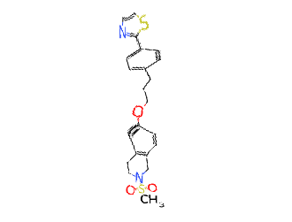 CS(=O)(=O)N1CCc2cc(OCCCc3ccc(-c4nccs4)cc3)ccc2C1